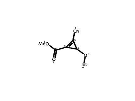 CCOC1C(C#N)=C1C(=O)OC